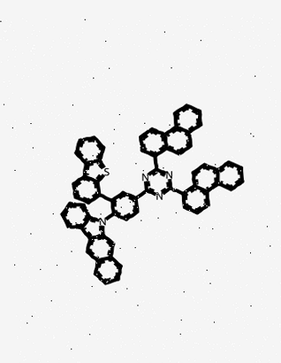 c1ccc2cc3c(cc2c1)c1ccccc1n3-c1ccc(-c2nc(-c3cccc4c3ccc3ccccc34)nc(-c3cccc4c3ccc3ccccc34)n2)cc1-c1cccc2c1sc1ccccc12